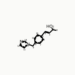 CC(O)/C=C/c1ccc(Cn2ccnc2)cc1